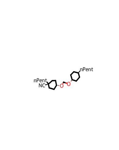 CCCCC[C@H]1CC[C@H](OCO[C@H]2CC[C@@](C#N)(CCCCC)CC2)CC1